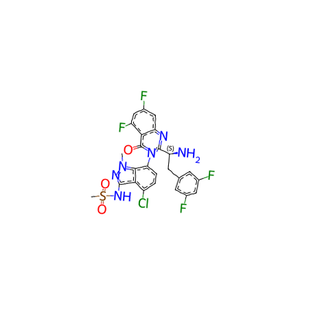 Cn1nc(NS(C)(=O)=O)c2c(Cl)ccc(-n3c([C@@H](N)Cc4cc(F)cc(F)c4)nc4cc(F)cc(F)c4c3=O)c21